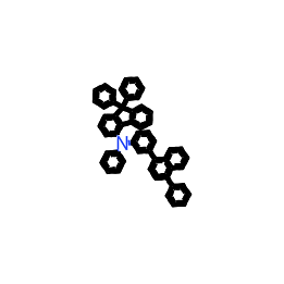 c1ccc(-c2ccc(-c3cccc(N(c4ccccc4)c4cccc5c4-c4ccccc4C5(c4ccccc4)c4ccccc4)c3)c3ccccc23)cc1